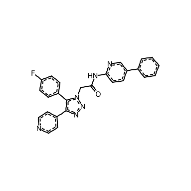 O=C(Cn1nnc(-c2ccncc2)c1-c1ccc(F)cc1)Nc1ccc(-c2ccccc2)cn1